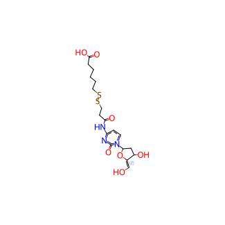 O=C(O)CCCCCSSCCC(=O)Nc1ccn(C2CC(O)/C(=C/O)O2)c(=O)n1